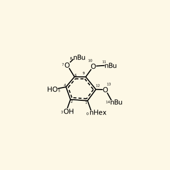 CCCCCCc1c(O)c(O)c(OCCCC)c(OCCCC)c1OCCCC